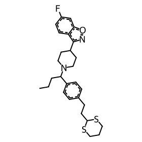 CCCC(c1ccc(CCC2SCCCS2)cc1)N1CCC(c2noc3cc(F)ccc23)CC1